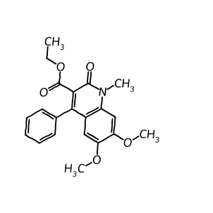 CCOC(=O)c1c(-c2ccccc2)c2cc(OC)c(OC)cc2n(C)c1=O